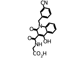 N#Cc1cccc(Cn2c(=O)c(C(=O)NCC(=O)O)c(O)c3ccccc32)c1